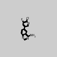 Nc1ncnc2ccc(-c3cnc(Cl)c(F)c3)cc12